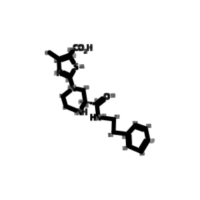 Cc1nc(N2CCN[C@@H](C(=O)NCCc3ccccc3)C2)sc1C(=O)O